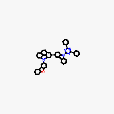 c1ccc(-c2nc(-c3ccccc3)nc(-n3c4ccccc4c4cc(-c5cc6ccc7cccc8c7c6c(c5)n8-c5ccc6oc7ccccc7c6c5)ccc43)n2)cc1